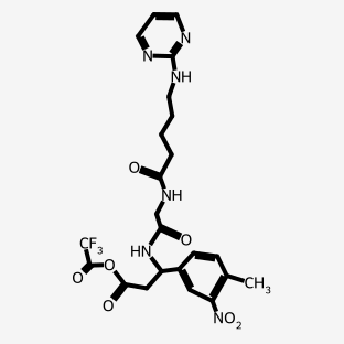 Cc1ccc(C(CC(=O)OC(=O)C(F)(F)F)NC(=O)CNC(=O)CCCCNc2ncccn2)cc1[N+](=O)[O-]